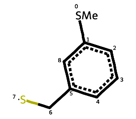 CSc1cccc(C[S])c1